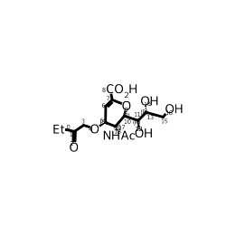 CCC(=O)CO[C@H]1C=C(C(=O)O)O[C@@H]([C@H](O)[C@H](O)CO)[C@@H]1NC(C)=O